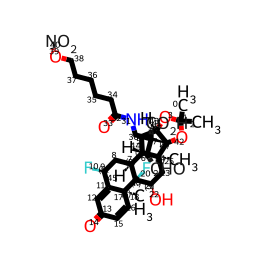 CC1(C)O[C@@H]2C[C@H]3[C@@H]4C[C@H](F)C5=CC(=O)C=C[C@]5(C)[C@@]4(F)[C@@H](O)C[C@]3(C)[C@@]2(C(CC=O)(CNC(=O)CCCCCO[N+](=O)[O-])C(=O)O)O1